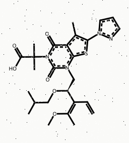 C=C/C(=C(\C)OC)[C@H](Cn1c(=O)n(C(C)(C)C(=O)O)c(=O)c2c(C)c(-n3cccn3)sc21)OCC(C)C